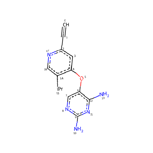 C#Cc1cc(Oc2cnc(N)nc2N)c(C(C)C)cn1